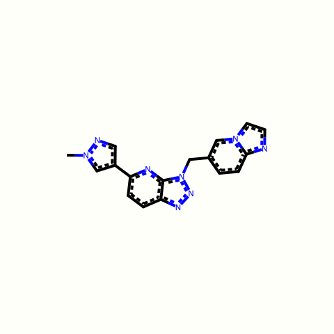 Cn1cc(-c2ccc3nnn(Cc4ccc5nccn5c4)c3n2)cn1